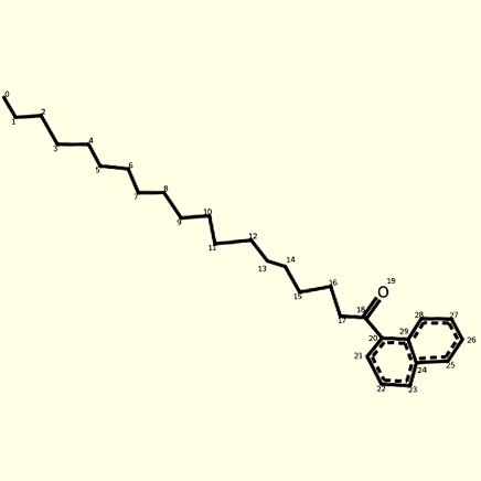 CCCCCCCCCCCCCCCCCCC(=O)c1cccc2ccccc12